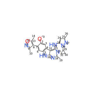 COc1cc2c(cc1-c1c(C)noc1C)[nH]c1nc(C)nc(Nc3cc(C)nn3C3CC3)c12